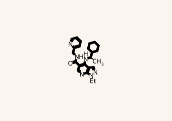 CCn1ncc2c(N[C@H](C)C3CCCCC3)c(C(=O)NCc3ccccn3)cnc21